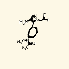 CN(C(=O)C(F)(F)F)[C@H]1CCCN(c2c(N)cnn2CC(F)F)CC1